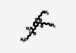 CCCCOC(=O)C(N)Cc1ccc(OC(=O)CCCN)c(OC(=O)CCCN)c1